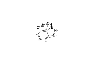 O=[Si]=O.c1ccc2[nH]nnc2c1